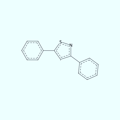 [c]1c(-c2ccccc2)nsc1-c1ccccc1